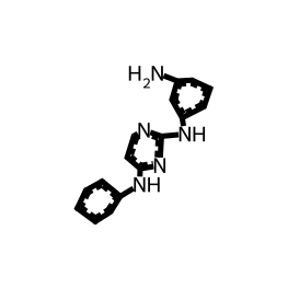 Nc1cccc(Nc2nccc(Nc3ccccc3)n2)c1